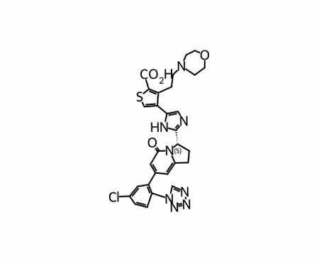 O=C(O)c1scc(-c2cnc([C@@H]3CCc4cc(-c5cc(Cl)ccc5-n5cnnn5)cc(=O)n43)[nH]2)c1CCN1CCOCC1